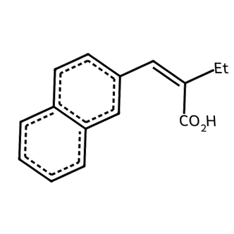 CCC(=Cc1ccc2ccccc2c1)C(=O)O